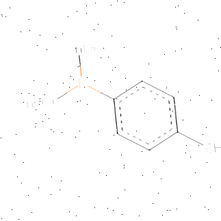 CCCCCCCCP(CCCCCCCC)c1ccc(C)cc1